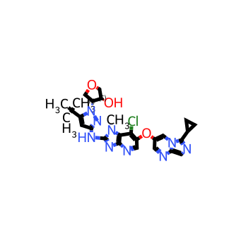 Cn1c(Nc2cc(C(C)(C)C)n([C@@H]3COC[C@H]3O)n2)nc2ncc(Oc3cnc4cnc(C5CC5)n4c3)c(Cl)c21